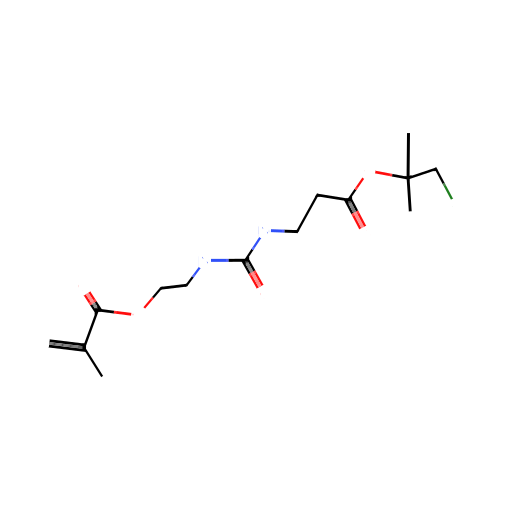 C=C(C)C(=O)OCCNC(=O)NCCC(=O)OC(C)(C)CCl